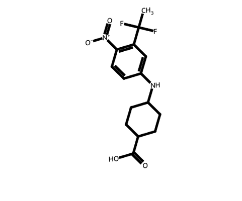 CC(F)(F)c1cc(NC2CCC(C(=O)O)CC2)ccc1[N+](=O)[O-]